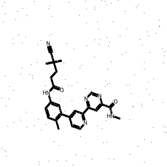 CNC(=O)c1cc(-c2cc(-c3cc(NC(=O)CCC(C)(C)C#N)ccc3C)ccn2)ncn1